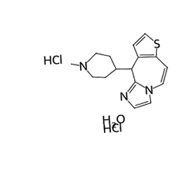 CN1CCC(C2c3ccsc3C=Cn3ccnc32)CC1.Cl.Cl.O